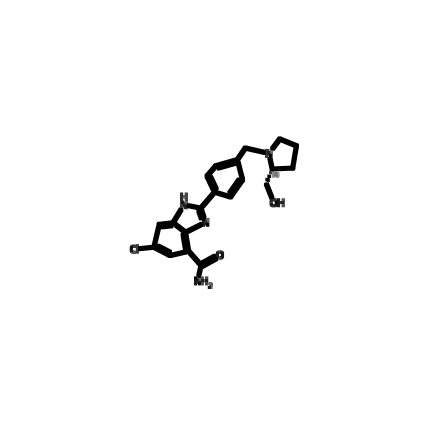 NC(=O)c1cc(Cl)cc2[nH]c(-c3ccc(CN4CCC[C@@H]4CO)cc3)nc12